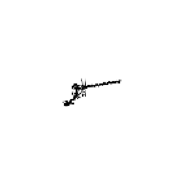 CCCCCCCCCCCCCCCCCCNC(=O)OCC1(COP(=O)(O)OCCCC(CC)[n+]2ccsc2)CCCO1